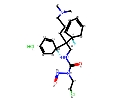 CN(C)CCCC(CNC(=O)N(CCCl)N=O)(C1(F)C=CC=CC1)C1(F)C=CC=CC1.Cl